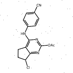 CC(=O)Oc1nc(Nc2ccc(C#N)cc2)c2c(n1)C(Cl)CC2